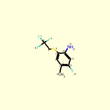 Cc1cc(SCC(F)(F)F)c(N)cc1F